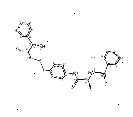 CC[C@@H](NCCc1ccc(NC(=O)[C@H](C)NC(=O)c2ccccc2F)cc1)[C@H](O)c1cccnc1